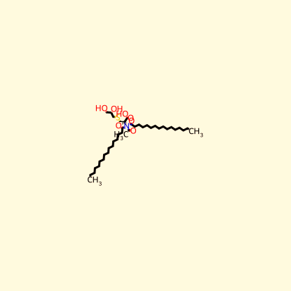 CCCCCCCCCCCCCCCC(=O)[N+](C(C)=O)(C(=O)CCCCCCCCCCCCCCC)[C@@H](CSCC(O)CO)C(=O)O